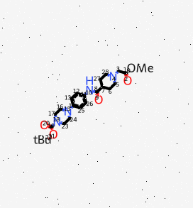 COC(=O)CN1CCC(C(=O)Nc2ccc(N3CCN(C(=O)OC(C)(C)C)CC3)cc2)CC1